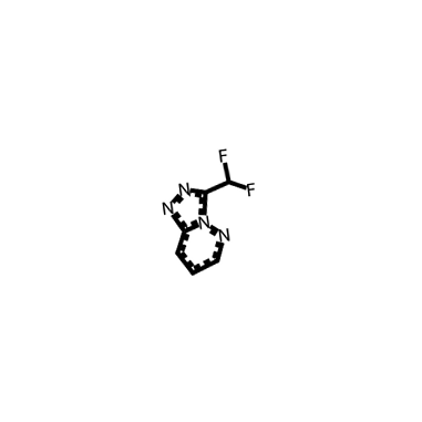 FC(F)c1nnc2cccnn12